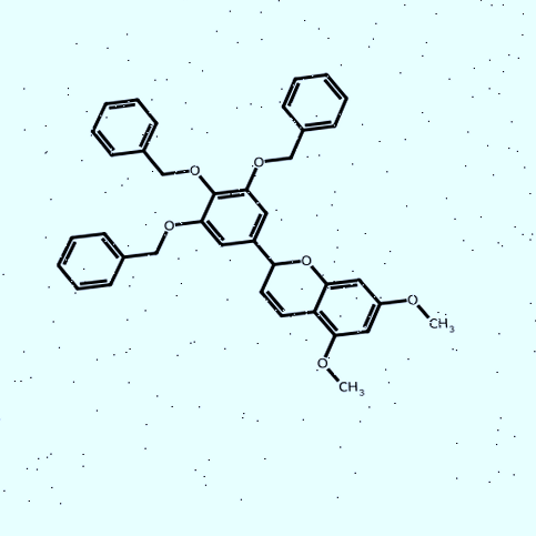 COc1cc(OC)c2c(c1)OC(c1cc(OCc3ccccc3)c(OCc3ccccc3)c(OCc3ccccc3)c1)C=C2